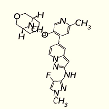 Cc1cc(-c2ccn3nc(Nc4nn(C)cc4F)cc3c2)c(O[C@H]2C[C@H]3COC[C@@H](C2)N3C)cn1